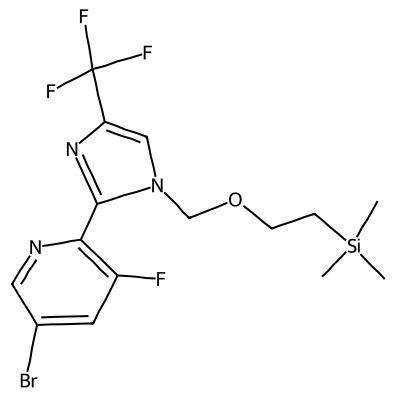 C[Si](C)(C)CCOCn1cc(C(F)(F)F)nc1-c1ncc(Br)cc1F